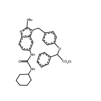 CCCCc1nc2ccc(NC(=O)NC3CCCCC3)cc2n1Cc1ccc(OC(C(=O)OCC)c2ccccc2)cc1